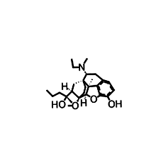 CCC[C@@](C)(O)[C@H]1C[C@@]23CC[C@]1(OC)[C@@H]1Oc4c(O)ccc(c4[C@@]12C)C[C@H]3N(C)CC